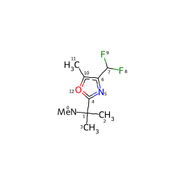 CNC(C)(C)c1nc(C(F)F)c(C)o1